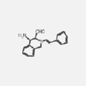 NC1c2ccccc2CN(C=Cc2ccccc2)C1C=O